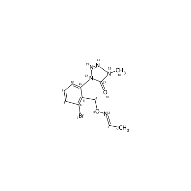 CC=NOCc1c(Br)cccc1-n1nnn(C)c1=O